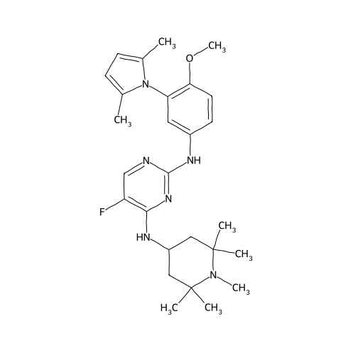 COc1ccc(Nc2ncc(F)c(NC3CC(C)(C)N(C)C(C)(C)C3)n2)cc1-n1c(C)ccc1C